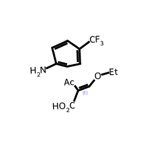 CCO/C=C(\C(C)=O)C(=O)O.Nc1ccc(C(F)(F)F)cc1